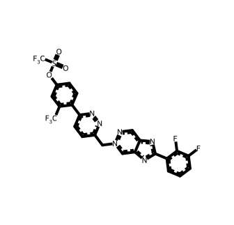 O=S(=O)(Oc1ccc(-c2ccc(Cn3cc4nc(-c5cccc(F)c5F)nc-4cn3)nn2)c(C(F)(F)F)c1)C(F)(F)F